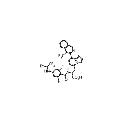 CCC(Nc1cc(F)c(C(=O)NC(Cc2ccc(-c3ncc4ccccc4c3C(F)(F)F)c3nccn23)C(=O)O)c(F)c1)C(F)(F)F